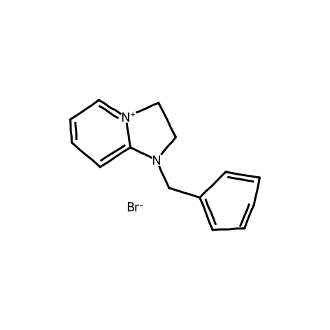 [Br-].c1ccc(CN2CC[n+]3ccccc32)cc1